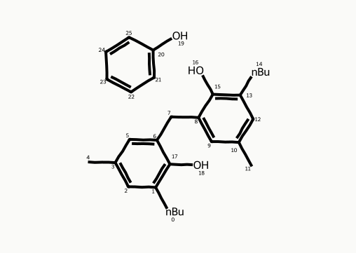 CCCCc1cc(C)cc(Cc2cc(C)cc(CCCC)c2O)c1O.Oc1ccccc1